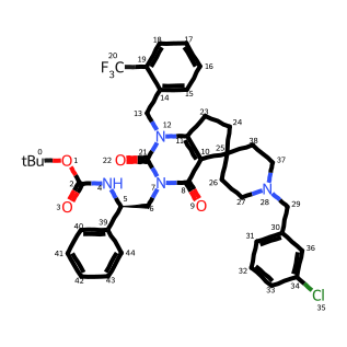 CC(C)(C)OC(=O)N[C@@H](Cn1c(=O)c2c(n(Cc3ccccc3C(F)(F)F)c1=O)CCC21CCN(Cc2cccc(Cl)c2)CC1)c1ccccc1